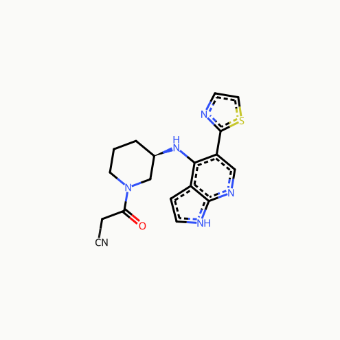 N#CCC(=O)N1CCC[C@@H](Nc2c(-c3nccs3)cnc3[nH]ccc23)C1